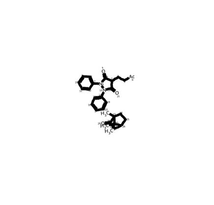 CC(=O)CCC1C(=O)N(c2ccccc2)N(c2ccccc2)C1=O.CC12CCC(CC1=O)C2(C)C